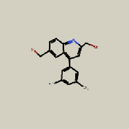 FC(F)(F)c1cc(-c2cc(CBr)nc3ccc(CBr)cc23)cc(C(F)(F)F)c1